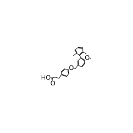 COc1ccc(COc2ccc(CCC(=O)O)cc2)cc1-c1c(C)cccc1C